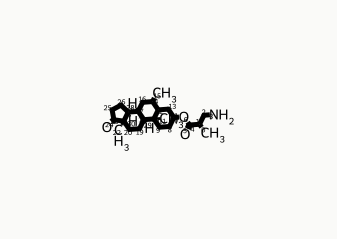 CC(CN)C(=O)OC1CC[C@@]2(C)C(C1)C(C)C[C@@H]1[C@H]2CC[C@]2(C)C(=O)CC[C@@H]12